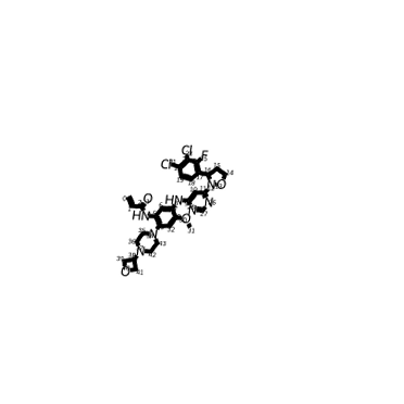 C=CC(=O)Nc1cc(Nc2cc(N3OCCC3c3ccc(Cl)c(Cl)c3F)ncn2)c(OC)cc1N1CCN(C2COC2)CC1